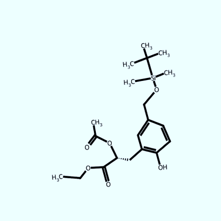 CCOC(=O)[C@@H](Cc1cc(CO[Si](C)(C)C(C)(C)C)ccc1O)OC(C)=O